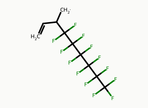 [CH2]C(C=C)C(F)(F)C(F)(F)C(F)(F)C(F)(F)C(F)(F)C(F)(F)F